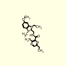 CCc1cnc(N)c(C(=O)NCc2n(CC)c3cc(OC)ccc3[n+]2C)n1.[I-]